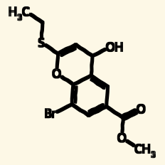 CCSC1=CC(O)c2cc(C(=O)OC)cc(Br)c2O1